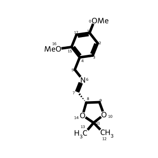 COc1ccc(C/N=C/[C@@H]2COC(C)(C)O2)c(OC)c1